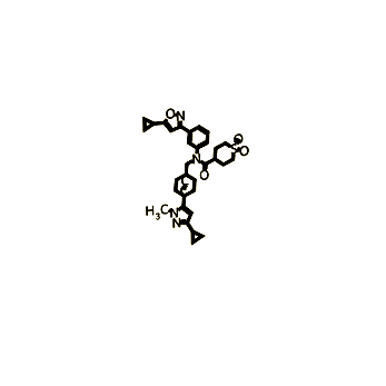 Cn1nc(C2CC2)cc1C12CCC(CN(C(=O)C3CCS(=O)(=O)CC3)c3cccc(-c4cc(C5CC5)on4)c3)(CC1)CC2